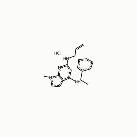 C=CCNc1nc(NC(C)c2ccccc2)c2ccn(C)c2n1.Cl